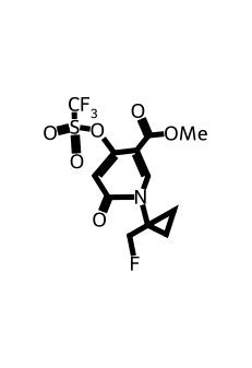 COC(=O)c1cn(C2(CF)CC2)c(=O)cc1OS(=O)(=O)C(F)(F)F